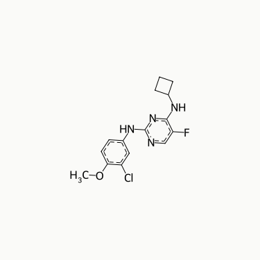 COc1ccc(Nc2ncc(F)c(NC3CCC3)n2)cc1Cl